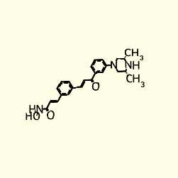 C[C@@H]1CN(c2cccc(C(=O)C=Cc3cccc(C=CC(=O)NO)c3)c2)C[C@H](C)N1